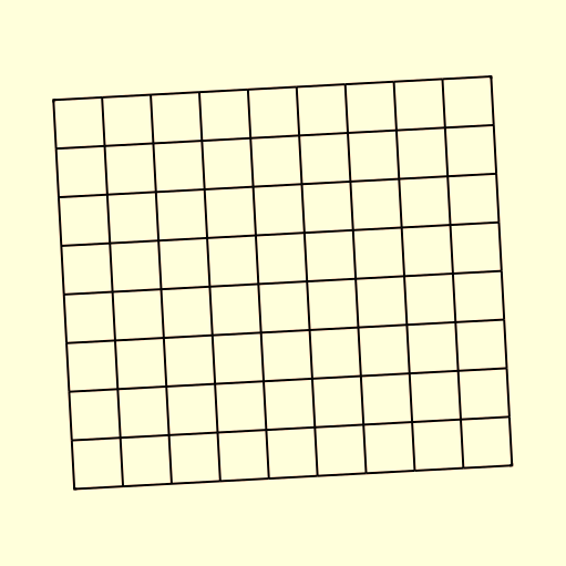 C1C2C3C4C5C6C7C8CC9C%10C%11C%12C%13C%14C%15C%16CC%17C%18C%19C%20C%21C%22C%23CC%24C%25C%26C%27C%28C%29C%30C1C21C32C43C54C65C76C89C%107C%118C%129C%13%10C%14%11C%15%12C%17%16C%18%13C%19%14C%20%15C%21%16C%22%17C%23%24C%25%18C%26%19C%27%20C%28%21C%29%22C%301C21C32C43C54C67C85C96C%107C%118C%13%12C%149C%15%10C%16%11C%17%18C%19%12C%20%13C%21%14C%221C21C32C45C63C74C98C%105C%11%12C%136C%141C23C564